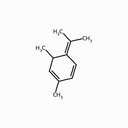 CC1=CC(C)C(=C(C)C)C=C1